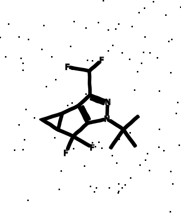 CC(C)(C)n1nc(C(F)F)c2c1C(F)(F)C1CC21